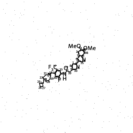 COc1cc2cc(-c3ccc(CC(=O)Nc4cc(C(F)(F)F)c(CN5CCN(C6CCC6)CC5)cc4F)cn3)cnc2cc1OC